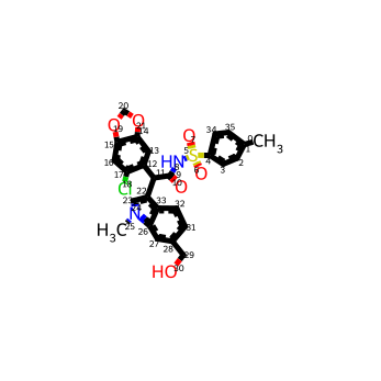 Cc1ccc(S(=O)(=O)NC(=O)C(c2cc3c(cc2Cl)OCO3)c2cn(C)c3cc(CO)ccc23)cc1